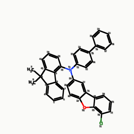 CC1(C)c2ccccc2-c2c(N(c3ccc(-c4ccccc4)cc3)c3ccc4oc5c(Cl)cccc5c4c3)cccc21